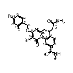 CNC(=O)c1ccc(COC(N)=O)c(-n2c(C)nc(OCc3ccc(F)cc3F)c(Br)c2=O)c1